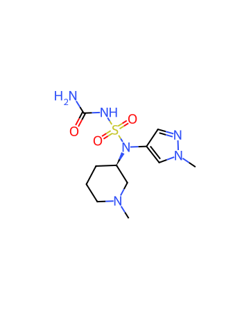 CN1CCC[C@@H](N(c2cnn(C)c2)S(=O)(=O)NC(N)=O)C1